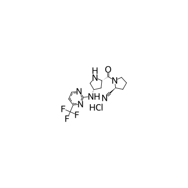 Cl.N#C[C@@H]1CCCN1C(=O)[C@@H]1C[C@H](Nc2nccc(C(F)(F)F)n2)CN1